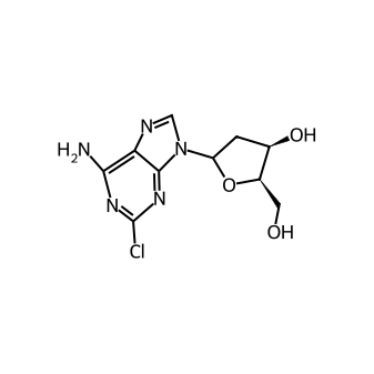 Nc1nc(Cl)nc2c1ncn2C1C[C@@H](O)[C@@H](CO)O1